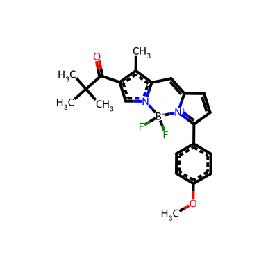 COc1ccc(C2=[N+]3C(=Cc4c(C)c(C(=O)C(C)(C)C)cn4[B-]3(F)F)C=C2)cc1